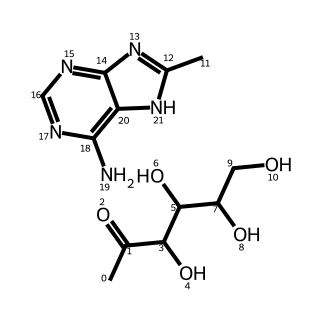 CC(=O)C(O)C(O)C(O)CO.Cc1nc2ncnc(N)c2[nH]1